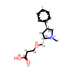 CN1C[C@H](c2ccccc2)C[C@H]1COCCC(=O)O